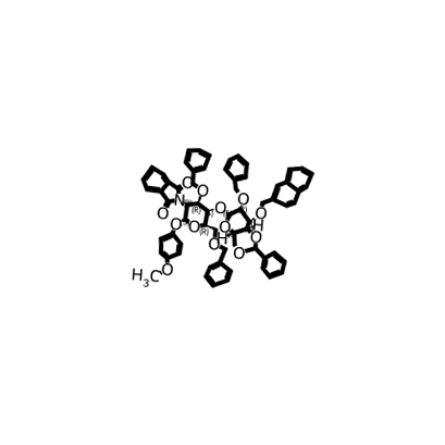 COc1ccc(O[C@@H]2O[C@H](COCc3ccccc3)[C@@H](O[C@H]3O[C@H]4COC(c5ccccc5)O[C@@H]4[C@@H](OCc4ccc5ccccc5c4)[C@H]3OCc3ccccc3)[C@H](OCc3ccccc3)[C@H]2N2C(=O)c3ccccc3C2=O)cc1